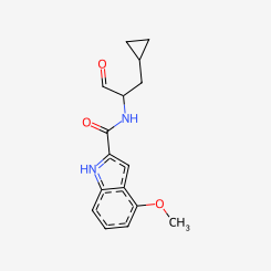 COc1cccc2[nH]c(C(=O)NC(C=O)CC3CC3)cc12